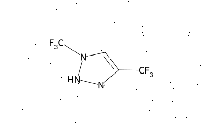 FC(F)(F)C1=CN(C(F)(F)F)N[N]1